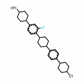 CCCC1CCC(c2ccc(C3CCC(c4ccc(C5CCC(CC)CC5)cc4)CC3)c(F)c2)CC1